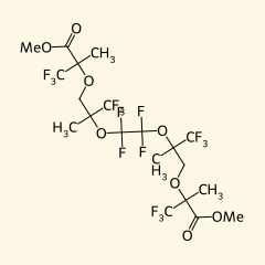 COC(=O)C(C)(OCC(C)(OC(F)(F)C(F)(F)OC(C)(COC(C)(C(=O)OC)C(F)(F)F)C(F)(F)F)C(F)(F)F)C(F)(F)F